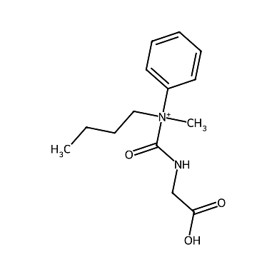 CCCC[N+](C)(C(=O)NCC(=O)O)c1ccccc1